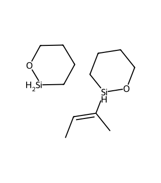 C/C=C(\C)[SiH]1CCCCO1.C1CC[SiH2]OC1